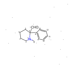 CN1CCCCC1(C=O)c1ccccc1